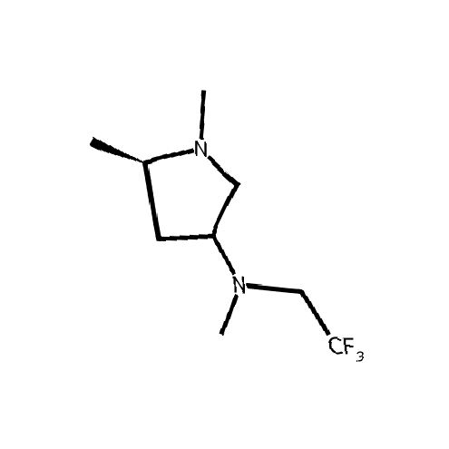 C[C@@H]1CC(N(C)CC(F)(F)F)CN1C